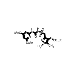 CCOC(=O)Oc1c(CS(=O)(=O)NC(=O)Nc2nc(OC)cc(OC)n2)nn(C)c1C